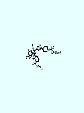 C[C@@H]1C=C=C[C@H](C(N)=O)[C@@H]1Nc1c(Cl)cnc2[nH]c(-c3cnn(C4CCN(C(=O)OC(C)(C)C)CC4)c3)nc12